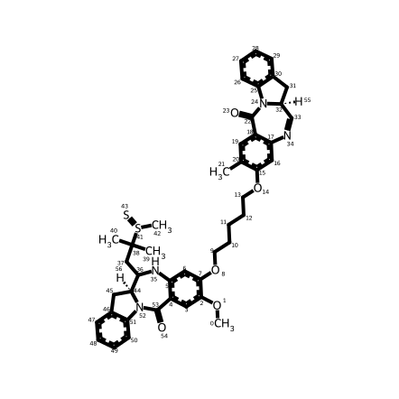 COc1cc2c(cc1OCCCCCOc1cc3c(cc1C)C(=O)N1c4ccccc4C[C@H]1C=N3)NC(CC(C)(C)S(C)=S)[C@@H]1Cc3ccccc3N1C2=O